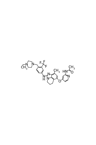 CCN1CCN(Cc2ccc(Nc3nc4c(C)cc(Oc5ccnc(NC(C)=O)c5)c5c4n3CCC5)cc2C(F)(F)F)CC1